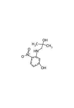 CC(C)(O)CNc1cc(O)ccc1[N+](=O)[O-]